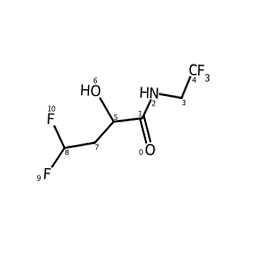 O=C(NCC(F)(F)F)C(O)CC(F)F